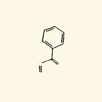 O=C(N=S)c1ccccc1